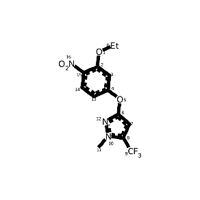 [CH2]COc1cc(Oc2cc(C(F)(F)F)n(C)n2)ccc1[N+](=O)[O-]